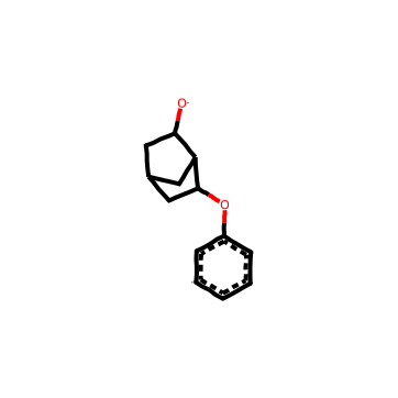 [O]C1CC2CC(Oc3c[c]ccc3)C1C2